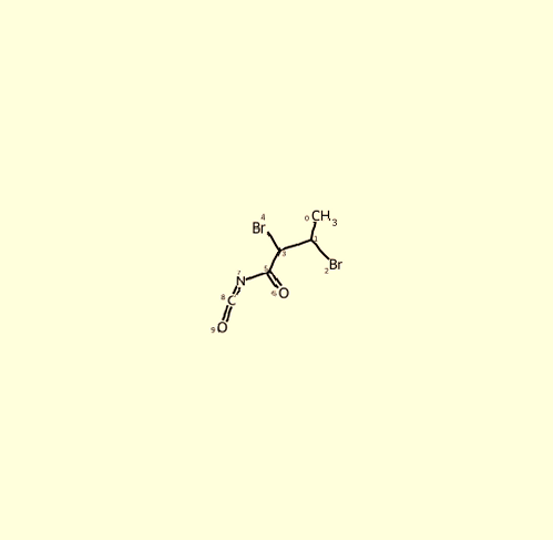 CC(Br)C(Br)C(=O)N=C=O